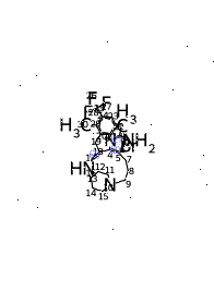 C/C(N)=N/C1=C(\Br)CCCN2CCC(CC2)N/C=C\1Cc1cccc(C(F)(F)F)c1C